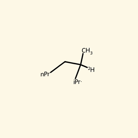 [2H]C(C)(CCC[CH2])[C](C)C